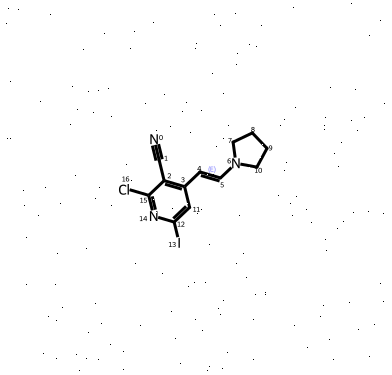 N#Cc1c(/C=C/N2CCCC2)cc(I)nc1Cl